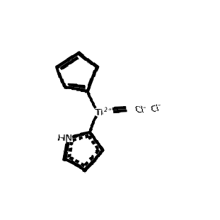 [CH2]=[Ti+2]([C]1=CC=CC1)[c]1ccc[nH]1.[Cl-].[Cl-]